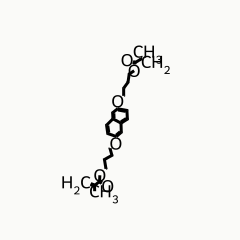 C=C(C)C(=O)OCCCCOc1ccc2cc(OCCCCOC(=O)C(=C)C)ccc2c1